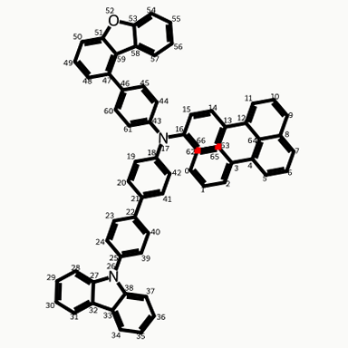 c1ccc(-c2cccc3cccc(-c4ccc(N(c5ccc(-c6ccc(-n7c8ccccc8c8ccccc87)cc6)cc5)c5ccc(-c6cccc7oc8ccccc8c67)cc5)cc4)c23)cc1